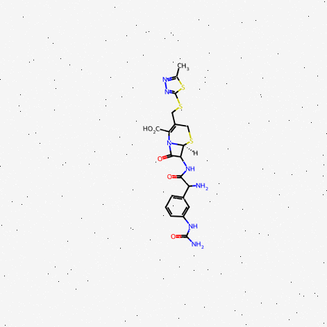 Cc1nnc(SCC2=C(C(=O)O)N3C(=O)C(NC(=O)C(N)c4cccc(NC(N)=O)c4)[C@@H]3SC2)s1